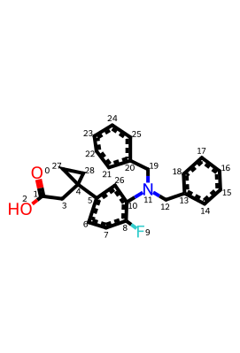 O=C(O)CC1(c2ccc(F)c(N(Cc3ccccc3)Cc3ccccc3)c2)CC1